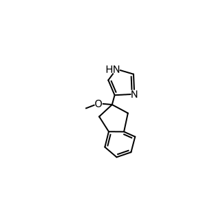 COC1(c2c[nH]cn2)Cc2ccccc2C1